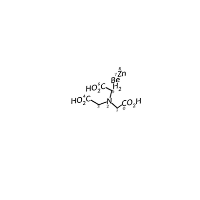 O=C(O)CN(CC(=O)O)CC(=O)O.[BeH2].[Zn]